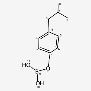 CC(C)Cc1ccc(OB(O)O)cc1